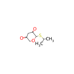 CC(C)SC1OCC(=O)CC1=O